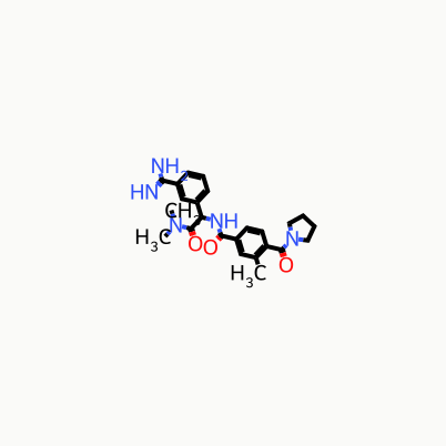 Cc1cc(C(=O)NC(C(=O)N(C)C)c2cccc(C(=N)N)c2)ccc1C(=O)N1CCCC1